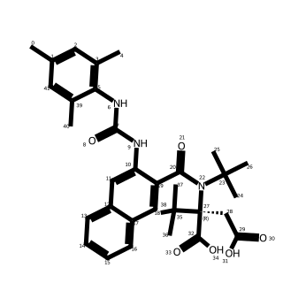 Cc1cc(C)c(NC(=O)Nc2cc3ccccc3cc2C(=O)N(C(C)(C)C)[C@@](CC(=O)O)(C(=O)O)C(C)(C)C)c(C)c1